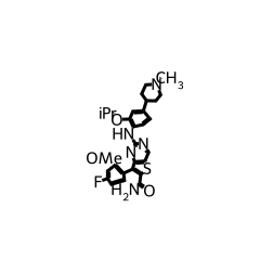 COc1cc(F)ccc1-c1c(C(N)=O)sc2cnc(Nc3ccc(C4CCN(C)CC4)cc3OC(C)C)nc12